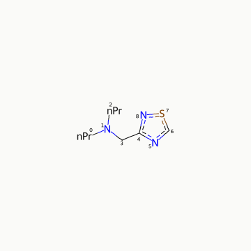 CCCN(CCC)Cc1ncsn1